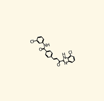 O=C(Nc1cccc(Cl)c1)c1ccc(C=CC(=O)c2nc3cccc(Cl)c3[nH]2)cc1